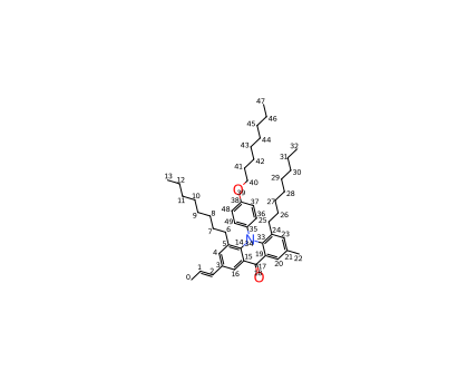 CC=Cc1cc(CCCCCCCC)c2c(c1)c(=O)c1cc(C)cc(CCCCCCCC)c1n2-c1ccc(OCCCCCCCC)cc1